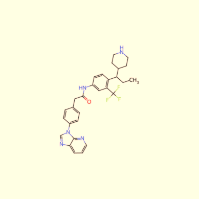 CCC(c1ccc(NC(=O)Cc2ccc(-n3cnc4cccnc43)cc2)cc1C(F)(F)F)C1CCNCC1